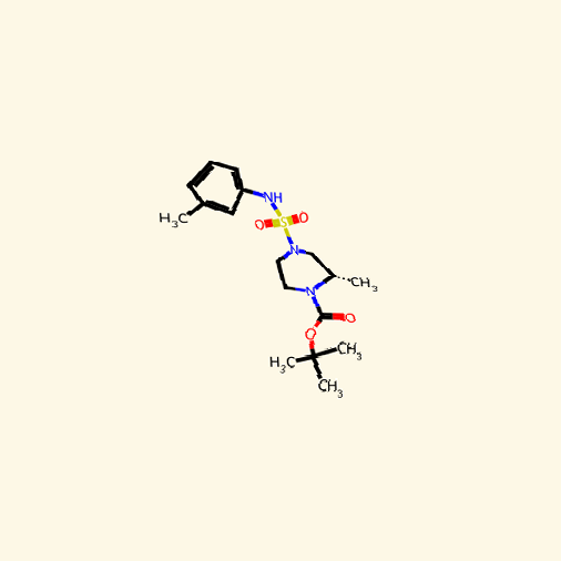 Cc1cccc(NS(=O)(=O)N2CCN(C(=O)OC(C)(C)C)[C@@H](C)C2)c1